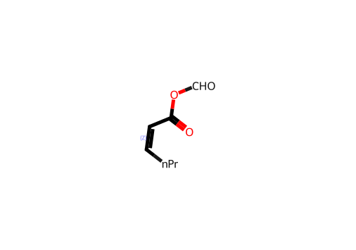 CCC/C=C\C(=O)OC=O